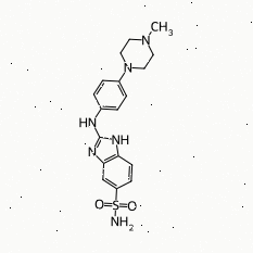 CN1CCN(c2ccc(Nc3nc4cc(S(N)(=O)=O)ccc4[nH]3)cc2)CC1